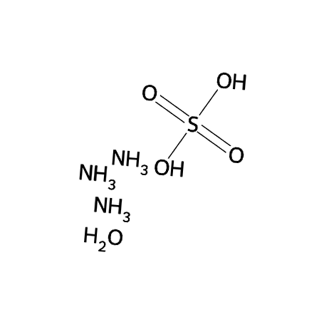 N.N.N.O.O=S(=O)(O)O